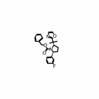 CC(C)(c1ncco1)[C@H]1CC[C@@H](c2cccc(F)c2)N1C(=O)OCc1ccccc1